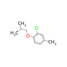 Cc1ccc(OCC(C)C)c(Cl)c1